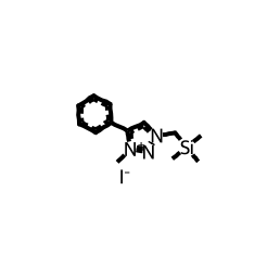 C[n+]1nn(C[Si](C)(C)C)cc1-c1ccccc1.[I-]